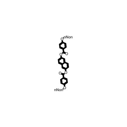 CCCCCCCCCOc1ccc(C(=O)Oc2ccc3cc(OC(=O)c4ccc(OCCCCCCCCC)cc4)ccc3c2)cc1